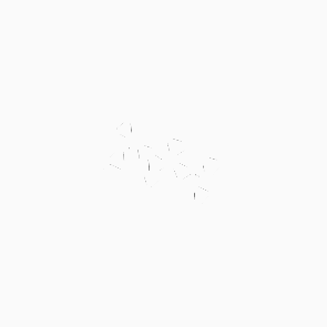 Cc1ccc(N(c2ccc(C(C)C)cc2)c2ccc3c(c2)c2ccccc2c2c4ccc(N(c5ccc(C)cc5)c5ccc(C(C)C)cc5)cc4c4ccccc4c32)cc1